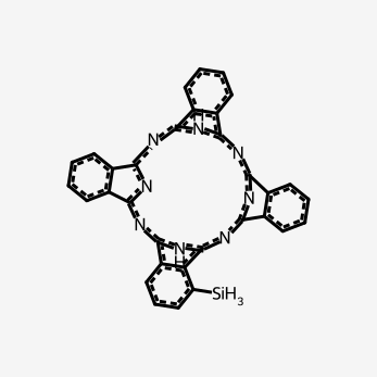 [SiH3]c1cccc2c3nc4nc(nc5[nH]c(nc6nc(nc([nH]3)c12)-c1ccccc1-6)c1ccccc51)-c1ccccc1-4